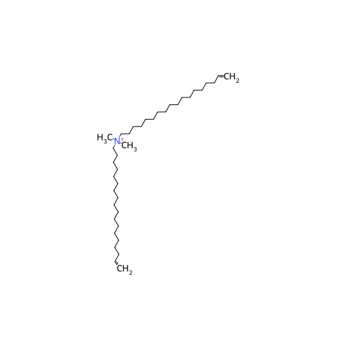 C=CCCCCCCCCCCCCCCCC[N+](C)(C)CCCCCCCCCCCCCCCCC=C